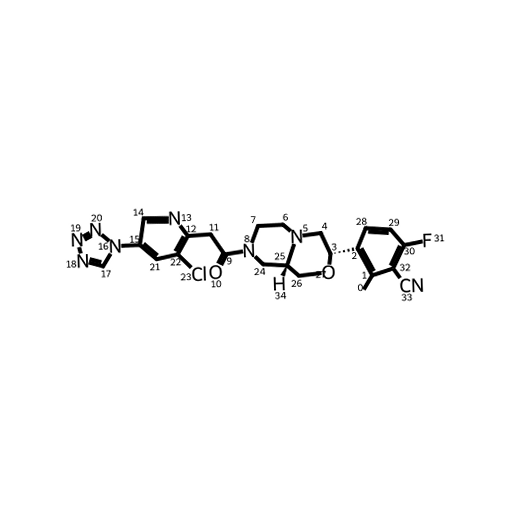 Cc1c([C@H]2CN3CCN(C(=O)Cc4ncc(-n5cnnn5)cc4Cl)C[C@H]3CO2)ccc(F)c1C#N